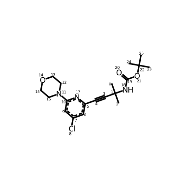 CC(C)(C#Cc1cc(Cl)cc(N2CCOCC2)n1)NC(=O)OC(C)(C)C